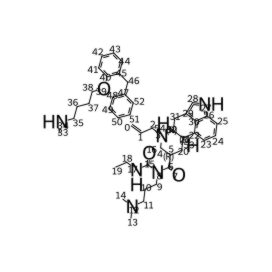 C=CCN1C[C@H](C(=O)N(CCCN(C)C)C(=O)NCC)C[C@@H]2c3cccc4[nH]cc(c34)C[C@H]21.CNCCCCOc1ccccc1Cc1ccccc1